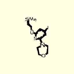 CSCCOc1cc(I)cc(N2CCOCC2)n1